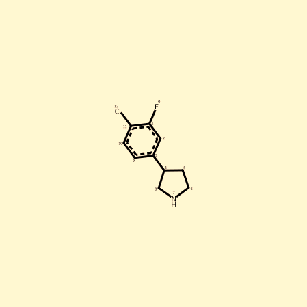 Fc1cc(C2CCNC2)ccc1Cl